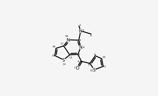 CN(C)c1nc(C(=O)c2cccs2)c2sccc2n1